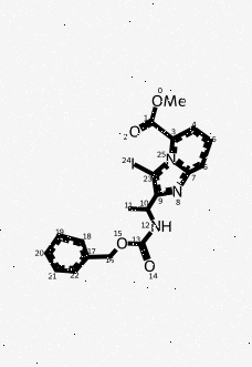 COC(=O)c1cccc2nc(C(C)NC(=O)OCc3ccccc3)c(I)n12